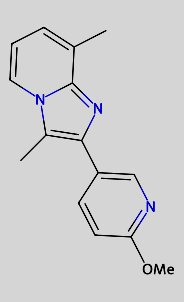 COc1ccc(-c2nc3c(C)cccn3c2C)cn1